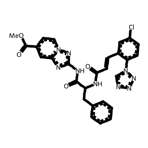 COC(=O)c1ccn2nc(NC(=O)C(Cc3ccccc3)NC(=O)C=Cc3cc(Cl)ccc3-n3cnnn3)nc2c1